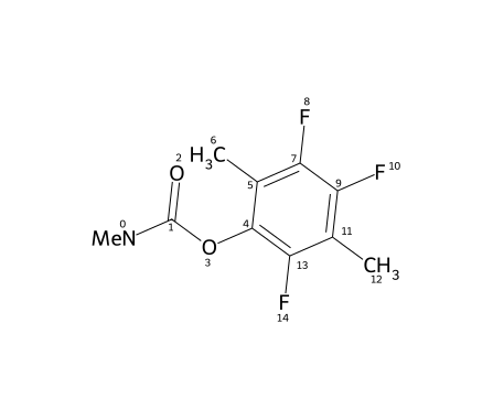 CNC(=O)Oc1c(C)c(F)c(F)c(C)c1F